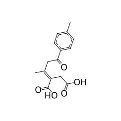 CC(CC(=O)c1ccc(C)cc1)=C(CC(=O)O)C(=O)O